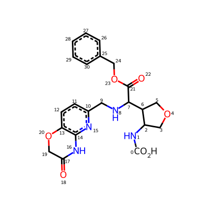 O=C(O)NC1COCC1C(NCc1ccc2c(n1)NC(=O)CO2)C(=O)OCc1ccccc1